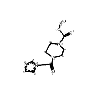 CC(C)(C)OC(=O)N1CCN(C(=O)n2ccnc2)CC1